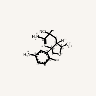 CC1(C#N)C[C@@H]2[C@@H](C(F)(F)F)OC[C@]2(c2cc(N)ccc2F)N=C1N